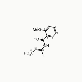 COc1ccccc1C(=O)NC(C)=CC(=O)O